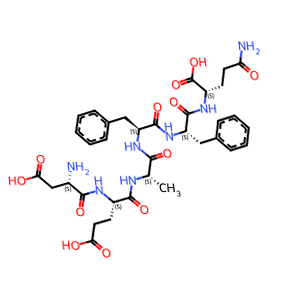 C[C@H](NC(=O)[C@H](CCC(=O)O)NC(=O)[C@@H](N)CC(=O)O)C(=O)N[C@@H](Cc1ccccc1)C(=O)N[C@@H](Cc1ccccc1)C(=O)N[C@@H](CCC(N)=O)C(=O)O